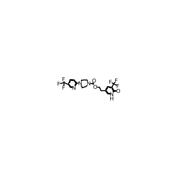 O=C(OCCc1c[nH]c(=O)c(C(F)(F)F)c1)N1CCN(c2ccc(C(F)(F)F)cn2)CC1